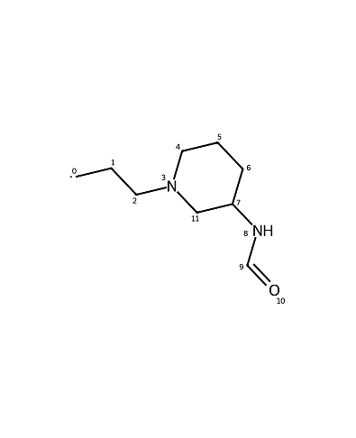 [CH2]CCN1CCCC(NC=O)C1